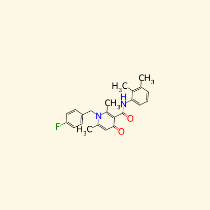 Cc1cccc(NC(=O)c2c(C)n(Cc3ccc(F)cc3)c(C)cc2=O)c1C